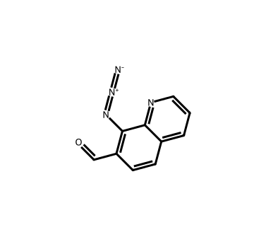 [N-]=[N+]=Nc1c(C=O)ccc2cccnc12